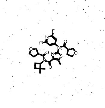 Cc1sc(N(C(=O)C2CCOC2)c2cc(F)nc(F)c2)nc1C(=O)N(C(=O)C1CCOC1)C1CCC1(C)C